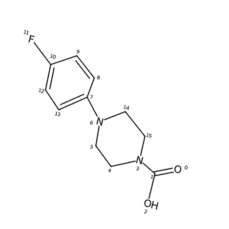 O=C(O)N1CCN(c2ccc(F)cc2)CC1